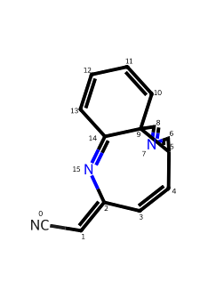 N#CC=C1C=CC2=CN=CC23C=CC=CC3=N1